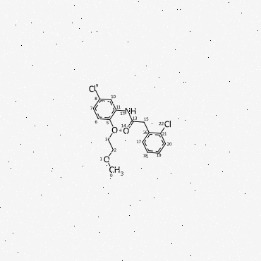 COCCOc1ccc(Cl)cc1NC(=O)Cc1ccccc1Cl